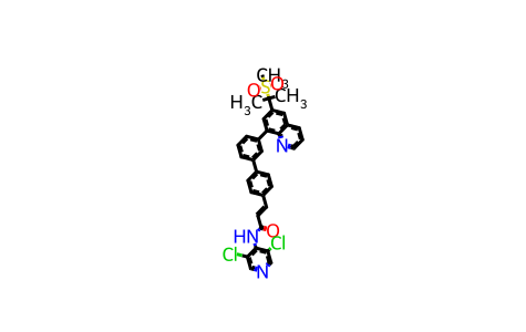 CC(C)(c1cc(-c2cccc(-c3ccc(C=CC(=O)Nc4c(Cl)cncc4Cl)cc3)c2)c2ncccc2c1)S(C)(=O)=O